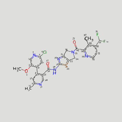 COc1cnc(Cl)cc1-c1cc(C)ncc1C(=O)Nc1nc2c(s1)CN(C(=O)c1nccc(C(F)F)c1C)C2